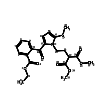 CCOC(=O)c1ccccc1C(=O)c1ccc(SC)n1CCC(C(=O)OC)C(=O)OC